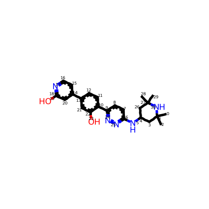 CC1(C)CC(Nc2ccc(-c3ccc(-c4ccnc(O)c4)cc3O)nn2)CC(C)(C)N1